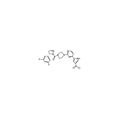 O=C(Cl)c1c[nH]c(-c2ccnc(N3CCN(C(=O)N4N=CC[C@H]4c4cc(F)cc(F)c4)CC3)n2)c1